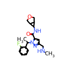 CNCc1cc(C(=O)NC2C3COCC32)n(C(C)c2ccccc2F)n1